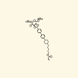 C=CC(=O)OCCCCCC1CCC(c2ccc(-c3ccc(C4O[C@@H](C(=O)OCCCC)[C@H](C(=O)OCCCC)O4)cc3)cc2)CC1